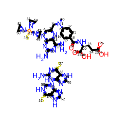 CN(Cc1cnc2nc(N)nc(N)c2n1)c1ccc(C(=O)N[C@@H](CCC(=O)O)C(=O)O)cc1.Nc1nc(=S)c2[nH]cnc2[nH]1.S=P(N1CC1)(N1CC1)N1CC1.S=c1[nH]cnc2nc[nH]c12